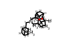 CC1(C)C2CCC(CP(CC3CCC4CC3C4(C)C)CC3CC[C@H]4C[C@@H]3C4(C)C)C1C2